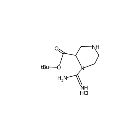 CC(C)(C)OC(=O)C1CNCCN1C(=N)N.Cl